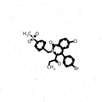 CCC(=O)c1c(-c2ccc(Br)cc2)c2cc(Cl)ccc2c(=O)n1Cc1ccc(S(C)(=O)=O)cc1